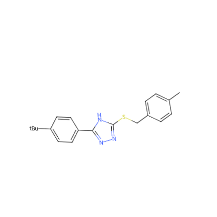 Cc1ccc(CSc2nnc(-c3ccc(C(C)(C)C)cc3)[nH]2)cc1